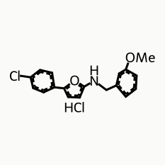 COc1cccc(CNc2ccc(-c3ccc(Cl)cc3)o2)c1.Cl